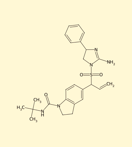 C=CC(c1ccc2c(c1)CCN2C(=O)NC(C)(C)C)S(=O)(=O)N1CC(c2ccccc2)N=C1N